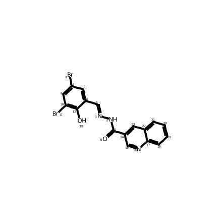 O=C(N/N=C/c1cc(Br)cc(Br)c1O)c1cnc2ccccc2c1